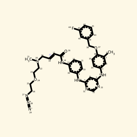 Cc1cc(Nc2cc(Nc3cccc(NC(=O)/C=C/CN(C)CCOCCN=[N+]=[N-])c3)ncn2)ccc1OCc1cccc(F)c1